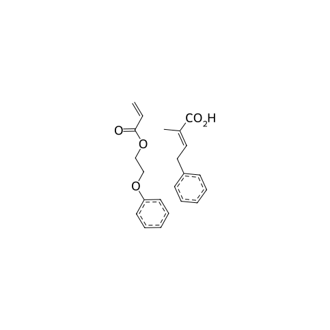 C=CC(=O)OCCOc1ccccc1.CC(=CCc1ccccc1)C(=O)O